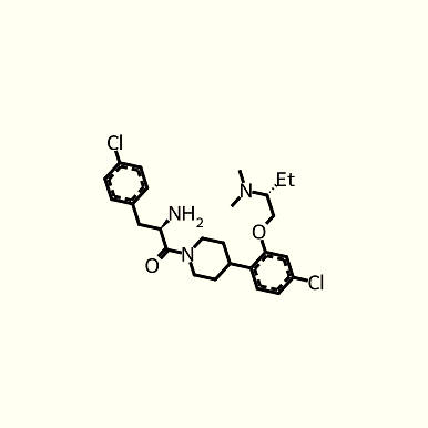 CC[C@H](COc1cc(Cl)ccc1C1CCN(C(=O)[C@H](N)Cc2ccc(Cl)cc2)CC1)N(C)C